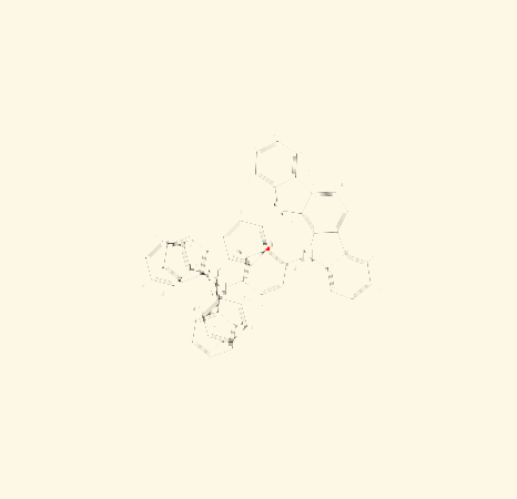 c1ccc(N(c2ccccc2)c2ccc(-n3c4ccccc4c4ccc5c6ccccc6n(-c6ccc(N(c7ccccc7)c7ccccc7)cc6)c5c43)cc2)cc1